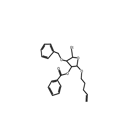 C=CCCCOC1OC(CC)C(OCc2ccccc2)C1OC(=O)c1ccccc1